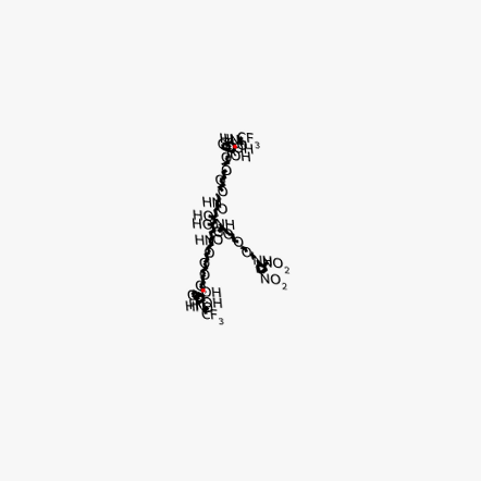 O=C(CCC(O)C(NC(=O)COCCOCCOCCNc1ccc([N+](=O)[O-])cc1[N+](=O)[O-])C(O)CCC(=O)NCCOCCOCCOCCOC[C@@]12CO[C@@H](O1)[C@H](NC(=O)C(F)(F)F)[C@@H](O)[C@H]2O)NCCOCCOCCOCCOC[C@@]12CO[C@@H](O1)[C@H](NC(=O)C(F)(F)F)[C@@H](O)[C@H]2O